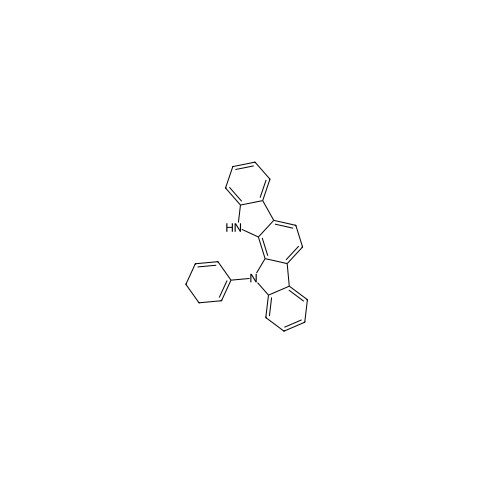 C1=CC(n2c3ccccc3c3ccc4c5ccccc5[nH]c4c32)=CCC1